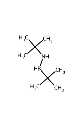 CC(C)(C)BNC(C)(C)C